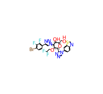 OC[C@H]1O[C@@H](c2nncn2-c2ccc3ncsc3c2)[C@H](OCC(F)F)[C@@H](n2cc(-c3ccc(Br)c(F)c3F)nn2)[C@H]1O